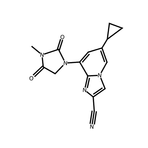 CN1C(=O)CN(c2cc(C3CC3)cn3cc(C#N)nc23)C1=O